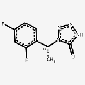 C[C@H](c1ccc(F)cc1F)n1nn[nH]c1=O